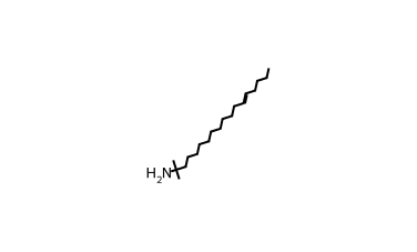 CCCCC=CCCCCCCCCCCC(C)(C)N